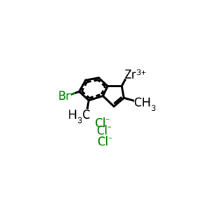 CC1=Cc2c(ccc(Br)c2C)[CH]1[Zr+3].[Cl-].[Cl-].[Cl-]